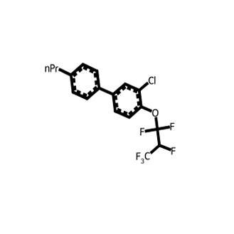 CCCc1ccc(-c2ccc(OC(F)(F)C(F)C(F)(F)F)c(Cl)c2)cc1